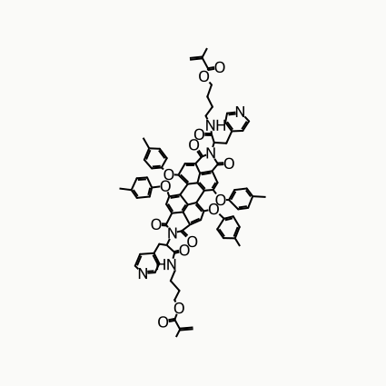 C=C(C)C(=O)OCCCCNC(=O)C(Cc1ccncc1)N1C(=O)c2cc(Oc3ccc(C)cc3)c3c4c(Oc5ccc(C)cc5)cc5c6c(cc(Oc7ccc(C)cc7)c(c7c(Oc8ccc(C)cc8)cc(c2c37)C1=O)c64)C(=O)N(C(Cc1ccncc1)C(=O)NCCCCOC(=O)C(=C)C)C5=O